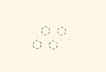 CCCc1ccccc1Cc1ccc(O)c(Cc2ccccc2CCC)c1Cc1ccccc1CCC